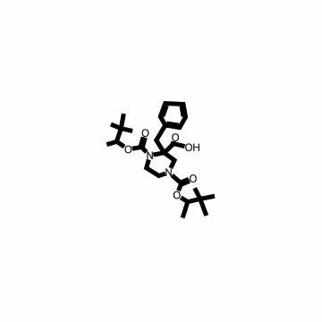 CC(OC(=O)N1CCN(C(=O)OC(C)C(C)(C)C)C(Cc2ccccc2)(C(=O)O)C1)C(C)(C)C